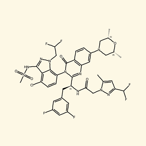 Cc1cc(C(F)F)nn1CC(=O)N[C@@H](Cc1cc(F)cc(F)c1)c1nc2cc(N3C[C@@H](C)O[C@@H](C)C3)ccc2c(=O)n1-c1ccc(Cl)c2c(NS(C)(=O)=O)nn(CC(F)F)c12